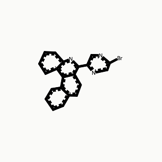 Brc1cnc(-c2nc3ccccc3c3c2ccc2ccccc23)cn1